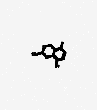 Cc1ccc(C(C)C)c2c1COC(C(C)(C)C)O2